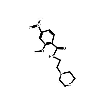 COc1cc([N+](=O)[O-])ccc1C(=O)NCCN1CCOCC1